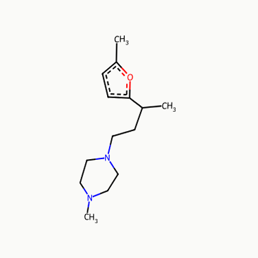 Cc1ccc(C(C)CCN2CCN(C)CC2)o1